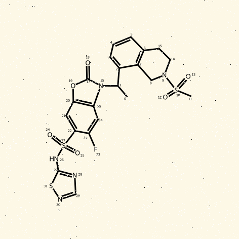 CC(c1cccc2c1CN(S(C)(=O)=O)CC2)n1c(=O)oc2cc(S(=O)(=O)Nc3ncns3)c(F)cc21